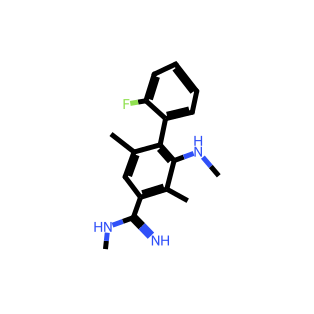 CNC(=N)c1cc(C)c(-c2ccccc2F)c(NC)c1C